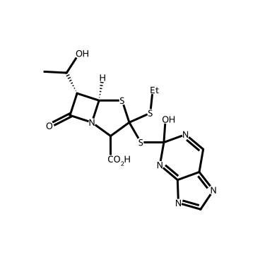 CCSC1(SC2(O)N=CC3=NC=NC3=N2)S[C@@H]2[C@@H](C(C)O)C(=O)N2C1C(=O)O